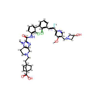 COc1cc(/C(F)=C/c2cccc(-c3cccc(NC(=O)c4nc5c(n4C)CCN(CCC46CCC(C(=O)O)(CC4)C6)C5)c3Cl)c2Cl)ncc1CN1CC(O)C1